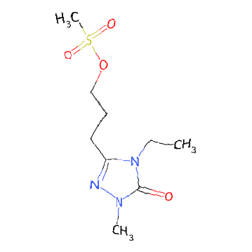 CCn1c(CCCOS(C)(=O)=O)nn(C)c1=O